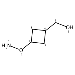 NOC1CC(CO)C1